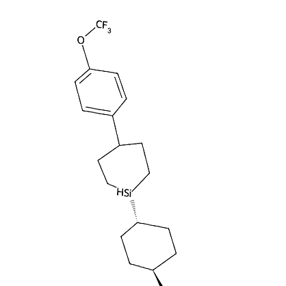 CCCCC[C@H]1CC[C@H]([SiH]2CCC(c3ccc(OC(F)(F)F)cc3)CC2)CC1